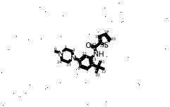 CN1CCN(c2ccc(C(C)(C)C)c(NC(=O)c3cccs3)c2)CC1